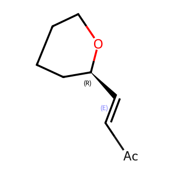 CC(=O)/C=C/[C@H]1CCCCO1